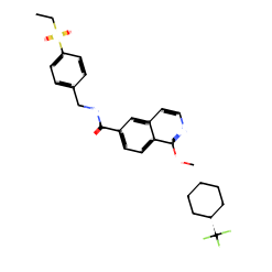 CCS(=O)(=O)c1ccc(CNC(=O)c2ccc3c(OC[C@H]4CC[C@H](C(F)(F)F)CC4)nccc3c2)cc1